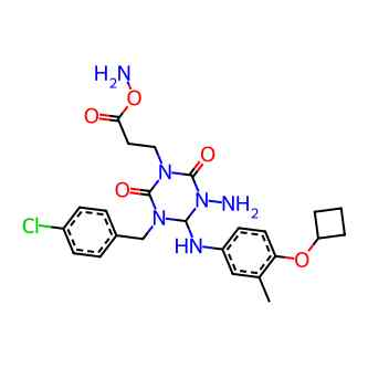 Cc1cc(NC2N(N)C(=O)N(CCC(=O)ON)C(=O)N2Cc2ccc(Cl)cc2)ccc1OC1CCC1